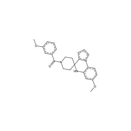 COc1cccc(C(=O)N2CCC3(CC2)Nc2cc(OC)ccc2-n2cccc23)c1